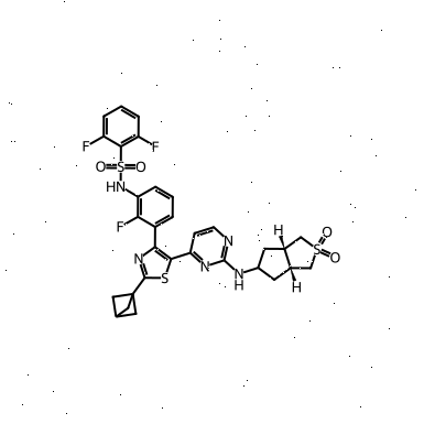 O=S1(=O)C[C@H]2CC(Nc3nccc(-c4sc(C56CC(C5)C6)nc4-c4cccc(NS(=O)(=O)c5c(F)cccc5F)c4F)n3)C[C@H]2C1